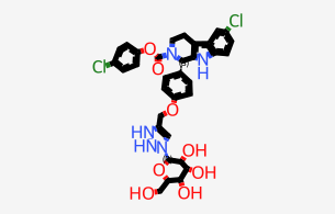 O=C(Oc1ccc(Cl)cc1)N1CCc2c([nH]c3ccc(Cl)cc23)[C@@H]1c1ccc(OCC2=CN([C@@H]3OC(CO)C(O)C(O)C3O)NN2)cc1